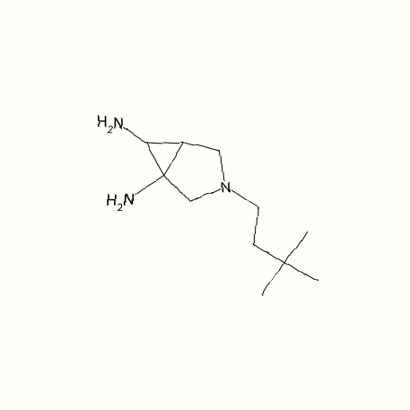 CC(C)(C)CCN1CC2C(N)C2(N)C1